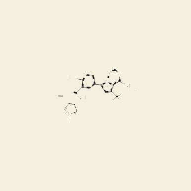 Cc1ncc(-c2cc(C(F)(F)F)c3c(N)ncnn23)cc1C(=O)N[C@@H]1CNC[C@@H]1CF